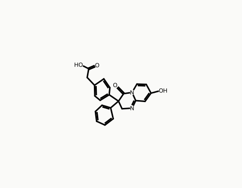 O=C(O)Cc1ccc(C2(c3ccccc3)CN=C3C=C(O)C=CN3C2=O)cc1